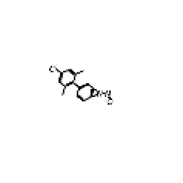 Cc1cc(Cl)cc(C)c1-c1ccc2c(c1)N2N=O